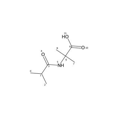 CC(C)C(=O)NC(C)(C)C(=O)O